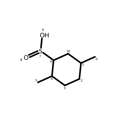 CC1CCC(C)C(S(=O)O)C1